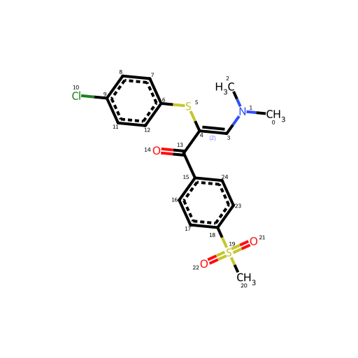 CN(C)/C=C(\Sc1ccc(Cl)cc1)C(=O)c1ccc(S(C)(=O)=O)cc1